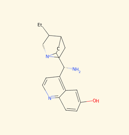 CCC1C[N@@]2CCC1CC2[C@H](N)c1ccnc2ccc(O)cc12